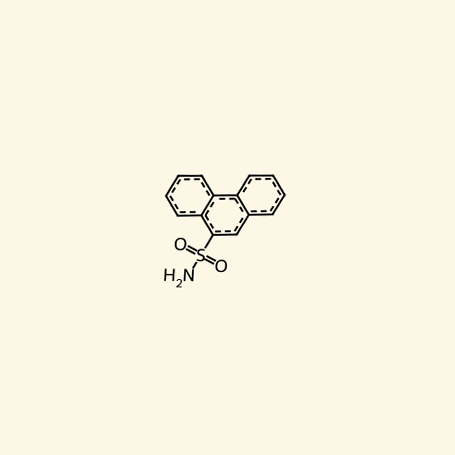 NS(=O)(=O)c1cc2ccccc2c2ccccc12